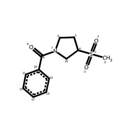 CS(=O)(=O)C1CCN(C(=O)c2c[c]ccc2)C1